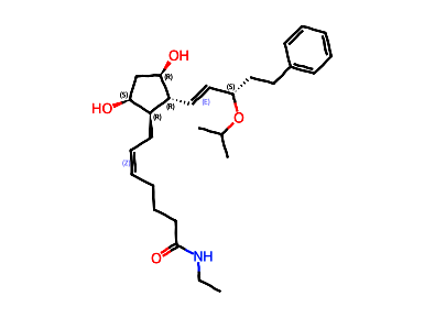 CCNC(=O)CCC/C=C\C[C@@H]1[C@@H](/C=C/[C@H](CCc2ccccc2)OC(C)C)[C@H](O)C[C@@H]1O